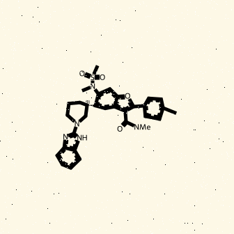 CNC(=O)c1c(-c2ccc(C)cc2)oc2cc(N(C)S(C)(=O)=O)c([C@H]3CCCN(c4nc5ccccc5[nH]4)C3)cc12